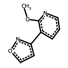 COc1ncccc1-c1c[c]on1